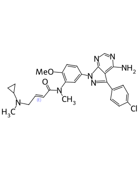 COc1ccc(-n2nc(-c3ccc(Cl)cc3)c3c(N)ncnc32)cc1N(C)C(=O)/C=C/CN(C)C1CC1